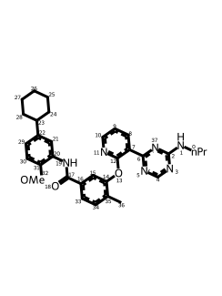 CCCNc1ncnc(-c2cccnc2Oc2cc(C(=O)Nc3cc(C4CCCCC4)ccc3OC)ccc2C)n1